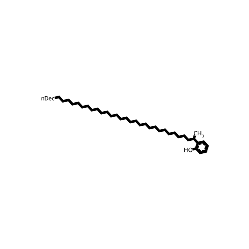 CCCCCCCCCCCCCCCCCCCCCCCCCCCCCCCCCCCCCCC(C)c1ccccc1O